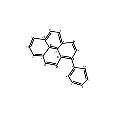 c1ccc(-c2ccc3ccc4cccc5ccc2c3c45)cc1